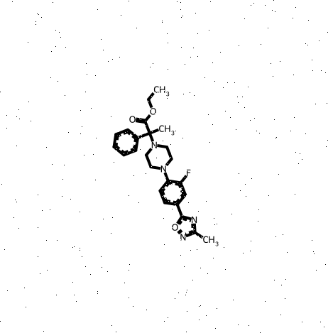 CCOC(=O)C(C)(c1ccccc1)N1CCN(c2ccc(-c3nc(C)no3)cc2F)CC1